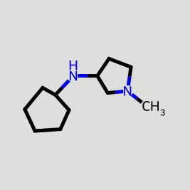 CN1CCC(NC2CCCCC2)C1